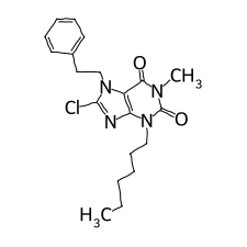 CCCCCCn1c(=O)n(C)c(=O)c2c1nc(Cl)n2CCc1ccccc1